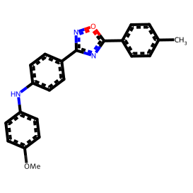 COc1ccc(Nc2ccc(-c3noc(-c4ccc(C)cc4)n3)cc2)cc1